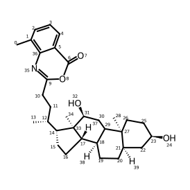 Cc1cccc2c(=O)oc(CC[C@@H](C)[C@H]3CC[C@H]4[C@@H]5CC[C@@H]6C[C@H](O)CC[C@]6(C)C5C[C@H](O)[C@]34C)nc12